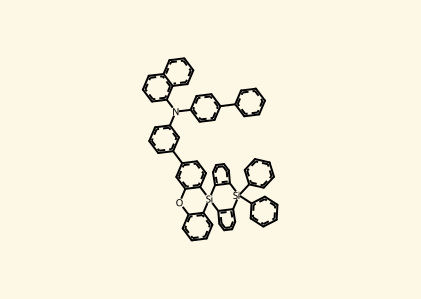 c1ccc(-c2ccc(N(c3cccc(-c4ccc5c(c4)Oc4ccccc4[Si]54c5ccccc5[Si](c5ccccc5)(c5ccccc5)c5ccccc54)c3)c3cccc4ccccc34)cc2)cc1